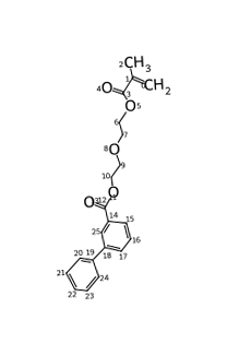 C=C(C)C(=O)OCCOCCOC(=O)c1cccc(-c2ccccc2)c1